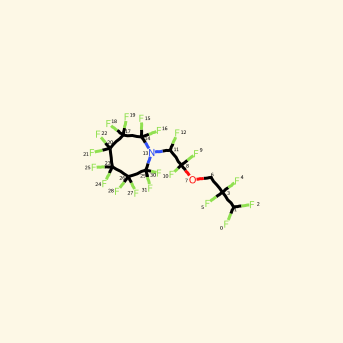 FC(F)C(F)(F)COC(F)(F)C(F)N1C(F)(F)C(F)(F)C(F)(F)C(F)(F)C(F)(F)C1(F)F